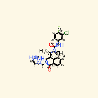 CC(c1cn(CN2C=CNN2)c(=O)c2ccccc12)N(C)C(=O)Nc1ccc(F)c(Cl)c1